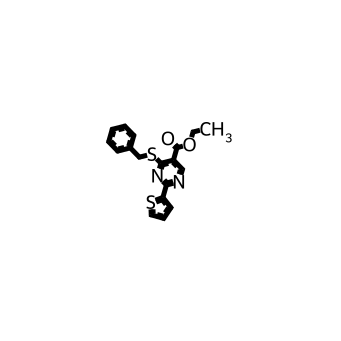 CCOC(=O)c1cnc(-c2cccs2)nc1SCc1ccccc1